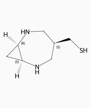 SC[C@H]1CN[C@H]2C[C@H]2NC1